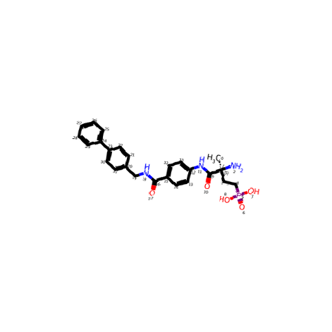 C[C@](N)(CCP(=O)(O)O)C(=O)Nc1ccc(C(=O)NCc2ccc(-c3ccccc3)cc2)cc1